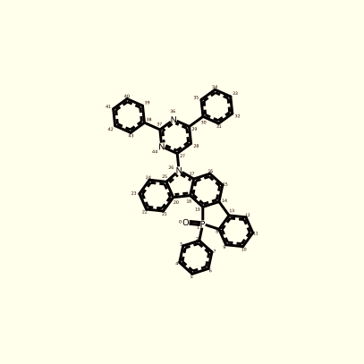 O=P1(c2ccccc2)c2ccccc2-c2ccc3c(c21)c1ccccc1n3-c1cc(-c2ccccc2)nc(-c2ccccc2)n1